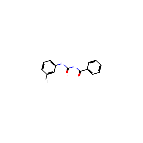 O=C(NC(=O)c1ccccc1)Nc1cccc(C(F)(F)F)c1